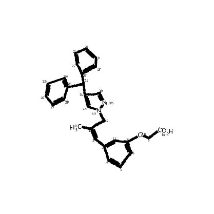 CC(=Cc1cccc(OCC(=O)O)c1)Cn1cc(C(c2ccccc2)c2ccccc2)cn1